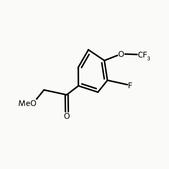 COCC(=O)c1ccc(OC(F)(F)F)c(F)c1